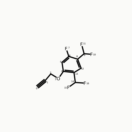 C#CCOc1[c]c(F)c(C(F)F)cc1C(F)F